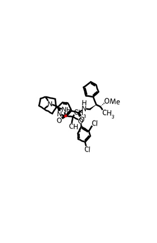 CO[C@H](C)[C@@H](CNC(=O)c1ccc(N2C3CCC2CC(NC(=O)C(C)(C)Oc2ccc(Cl)cc2Cl)C3)nc1)c1ccccc1